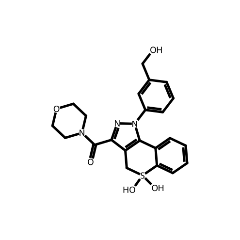 O=C(c1nn(-c2cccc(CO)c2)c2c1CS(O)(O)c1ccccc1-2)N1CCOCC1